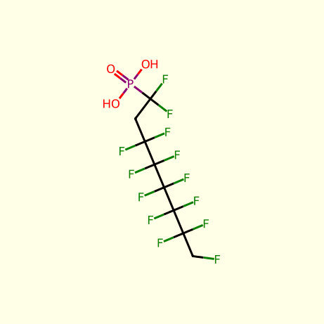 O=P(O)(O)C(F)(F)CC(F)(F)C(F)(F)C(F)(F)C(F)(F)C(F)(F)CF